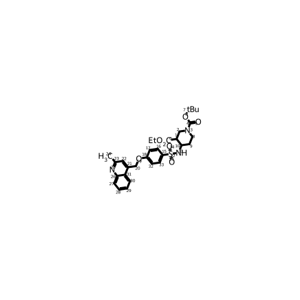 CCOC(=O)C1CN(C(=O)OC(C)(C)C)CCC1NS(=O)(=O)c1ccc(OCc2cc(C)nc3ccccc23)cc1